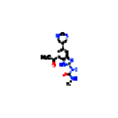 CCNC(=O)Nc1nc2cc(-c3cncnc3)cc(C(=O)OC)c2[nH]1